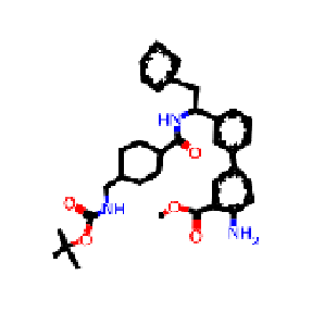 COC(=O)c1cc(-c2cccc(C(Cc3ccccc3)NC(=O)C3CCC(CNC(=O)OC(C)(C)C)CC3)c2)ccc1N